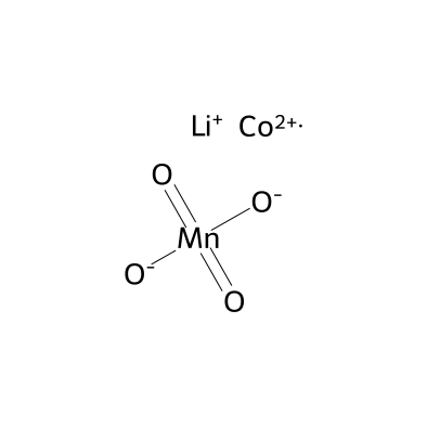 [Co+2].[Li+].[O]=[Mn](=[O])([O-])[O-]